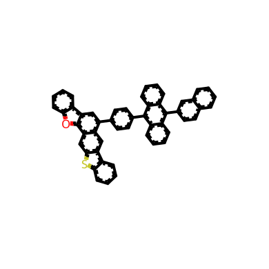 c1ccc2cc(-c3c4ccccc4c(-c4ccc(-c5cc6c7ccccc7oc6c6cc7sc8ccccc8c7cc56)cc4)c4ccccc34)ccc2c1